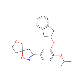 CC(C)Oc1ccc(C2=NOC3(CCOC3)C2)cc1OC1Cc2ccccc2C1